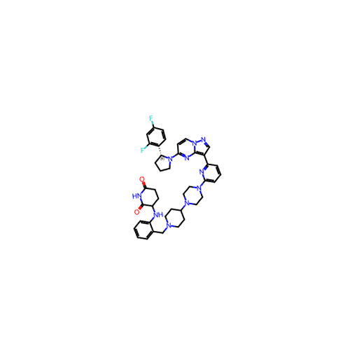 O=C1CCC(Nc2ccccc2CN2CCC(N3CCN(c4cccc(-c5cnn6ccc(N7CCC[C@@H]7c7ccc(F)cc7F)nc56)n4)CC3)CC2)C(=O)N1